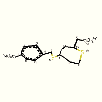 COc1ccc(CSC2CCSC(CC(=O)O)C2)cc1